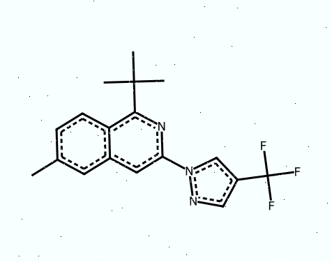 Cc1ccc2c(C(C)(C)C)nc(-n3cc(C(F)(F)F)cn3)cc2c1